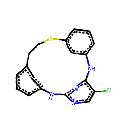 Clc1cnc2nc1Nc1cccc(c1)SCCc1cccc(c1)N2